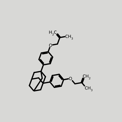 C=C(C)COc1ccc(C23CC4CC(C2)CC(c2ccc(OCC(=C)C)cc2)(C4)C3)cc1